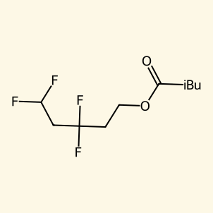 CCC(C)C(=O)OCCC(F)(F)CC(F)F